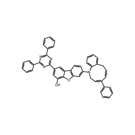 Oc1cc(-c2nc(-c3ccccc3)nc(-c3ccccc3)n2)cc2c1oc1cc(N3C/C=C(c4ccccc4)\C=C/Cc4ccccc43)ccc12